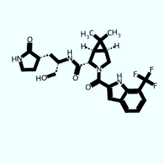 CC1(C)[C@@H]2[C@@H](C(=O)N[C@H](CO)C[C@@H]3CCNC3=O)N(C(=O)c3cc4cccc(C(F)(F)F)c4[nH]3)C[C@@H]21